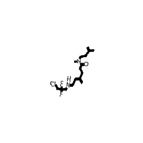 CC(C)CCN(C)C(=O)CCC(C)CCNCC(F)(F)CCl